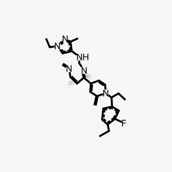 C=N/C=C\C(=N/CNc1cn(CC)nc1C)C1=CC(=C)N(C(CC)c2ccc(CC)c(F)c2)C=C1